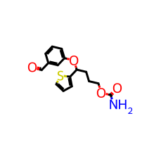 NC(=O)OCCCC(Oc1cccc(C=O)c1)c1cccs1